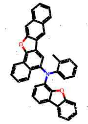 Cc1ccccc1N(c1cc2c3cc4ccccc4cc3oc2c2ccccc12)c1cccc2c1oc1ccccc12